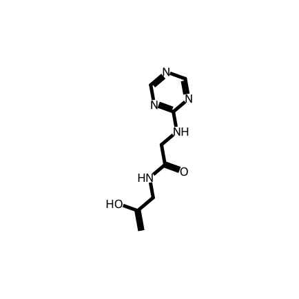 C=C(O)CNC(=O)CNc1ncncn1